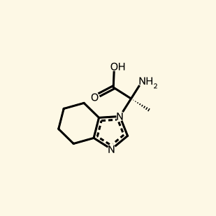 C[C@@](N)(C(=O)O)n1cnc2c1CCCC2